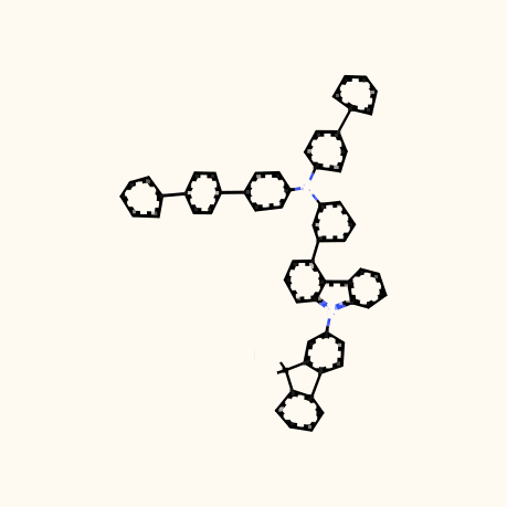 CC1(C)c2ccccc2-c2ccc(-n3c4ccccc4c4c(-c5cccc(N(c6ccc(-c7ccccc7)cc6)c6ccc(-c7ccc(-c8ccccc8)cc7)cc6)c5)cccc43)cc21